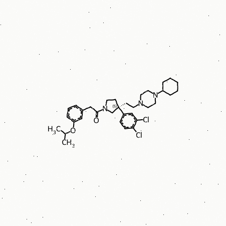 CC(C)Oc1cccc(CC(=O)N2CC[C@@](CCN3CCN(C4CCCCC4)CC3)(c3ccc(Cl)c(Cl)c3)C2)c1